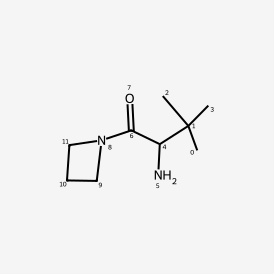 CC(C)(C)C(N)C(=O)N1CCC1